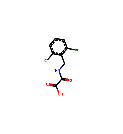 O=C(O)C(=O)NCc1c(Cl)cccc1Br